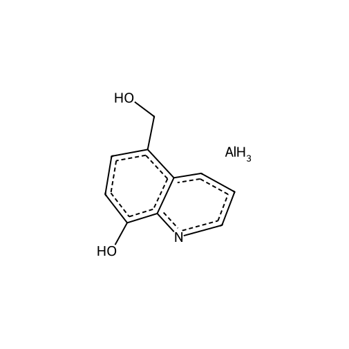 OCc1ccc(O)c2ncccc12.[AlH3]